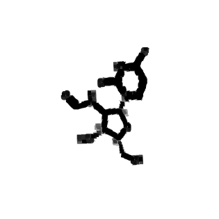 O=CNC1[C@@H](O)[C@@H](CO)O[C@H]1n1ccc(=O)[nH]c1=O